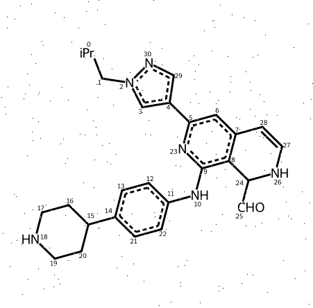 CC(C)Cn1cc(-c2cc3c(c(Nc4ccc(C5CCNCC5)cc4)n2)C(C=O)NC=C3)cn1